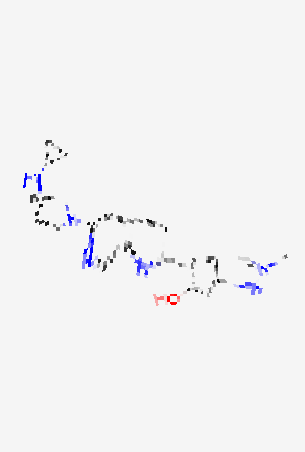 Cc1c(O)c(-c2ccc3cc(N4CC[C@@H](NC5CC5)C4)ncc3n2)cc2cn(C)nc12